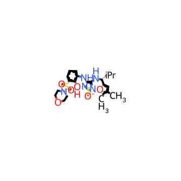 Cc1cc([C@H](Nc2n[s+]([O-])nc2Nc2cccc(S(=O)(=O)N3CCOCC3)c2O)C(C)C)oc1C